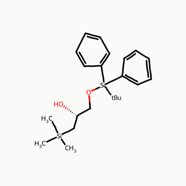 CC(C)(C)[Si](OC[C@@H](O)C[Si](C)(C)C)(c1ccccc1)c1ccccc1